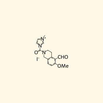 COc1ccc2c(c1C=O)CCN(C(=O)n1cc[n+](C)c1)C2.[I-]